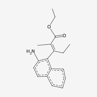 CCOC(=O)C(C)=C(CC)c1c(N)ccc2ccccc12